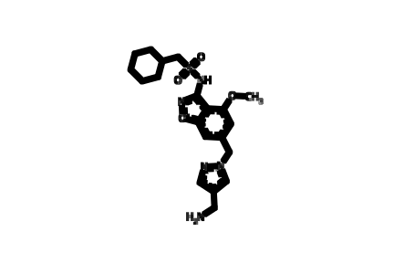 COc1cc(Cn2cc(CN)cn2)cc2onc(NS(=O)(=O)CC3CCCCC3)c12